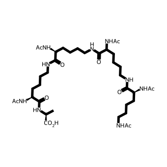 CC(=O)NCCCC[C@H](NC(C)=O)C(=O)NCCCCC(NC(C)=O)C(=O)NCCCC[C@H](NC(C)=O)C(=O)NCCCC[C@H](NC(C)=O)C(=O)N[C@@H](C)C(=O)O